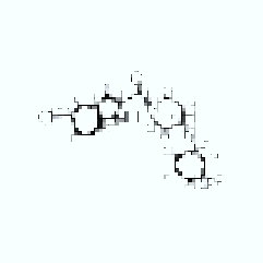 O=C(c1cc2cc(Cl)ccc2[nH]1)N1CCC(Nc2cccc(F)c2)CC1